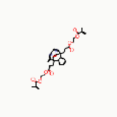 C=C(C)C(=O)OCCOC(=O)CCC12/C=C\C=C/C(=C)C(CCC(=O)OCCOC(=O)C(=C)C)(c3ccccc31)c1ccccc12